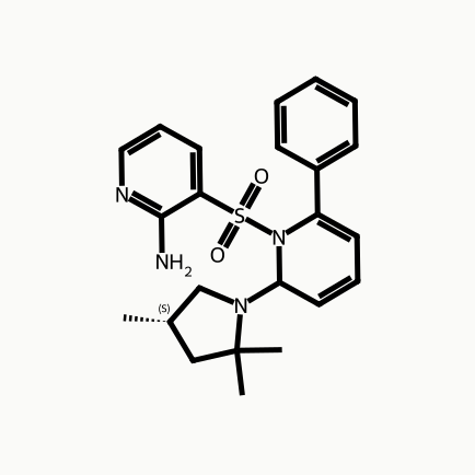 C[C@@H]1CN(C2C=CC=C(c3ccccc3)N2S(=O)(=O)c2cccnc2N)C(C)(C)C1